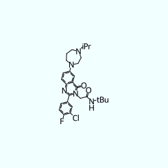 CC(C)N1CCCN(c2ccc3nc(-c4ccc(F)c(Cl)c4)n(CC(=O)NC(C)(C)C)c(=O)c3c2)CC1